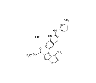 Br.Cc1cccc(NC(=O)Nc2ccc(-c3c(C(=O)NCC(F)(F)F)cn4ncnc(N)c34)cc2F)n1